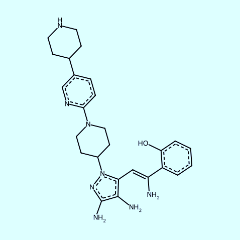 N/C(=C\c1c(N)c(N)nn1C1CCN(c2ccc(C3CCNCC3)cn2)CC1)c1ccccc1O